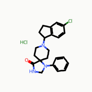 Cl.O=C1NCN(c2ccccc2)C12CCN(C1CCc3cc(Cl)ccc31)CC2